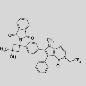 Cn1c(-c2ccc(C3(N4C(=O)c5ccccc5C4=O)CC(C)(O)C3)cc2)c(-c2ccccc2)c2c(=O)n(CC(F)(F)F)cnc21